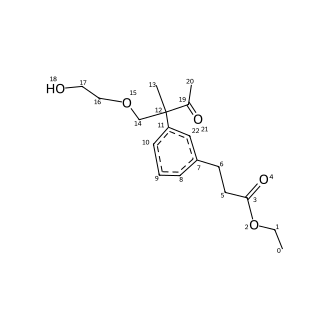 CCOC(=O)CCc1cccc(C(C)(COCCO)C(C)=O)c1